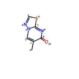 Cc1cn2ncsc2nc1=O